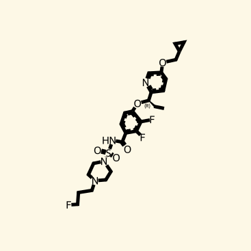 CC[C@@H](Oc1ccc(C(=O)NS(=O)(=O)N2CCN(CCCF)CC2)c(F)c1F)c1ccc(OCC2CC2)cn1